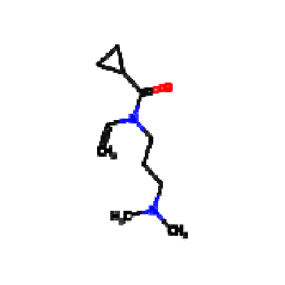 C=CN(CCCN(C)C)C(=O)C1CC1